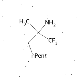 CCCCCCC(C)(N)C(F)(F)F